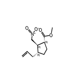 C=CC[C@H]1CC[C@@H](C(=O)OC)[C@@H]1C[N+](=O)[O-]